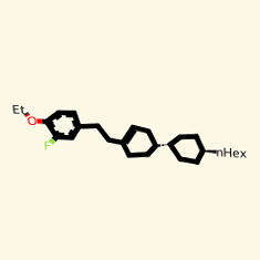 CCCCCC[C@H]1CC[C@H](C2CC=C(CCc3ccc(OCC)c(F)c3)CC2)CC1